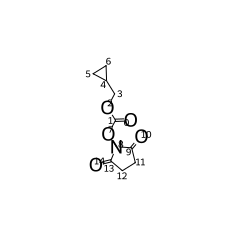 O=C(OCC1CC1)ON1C(=O)CCC1=O